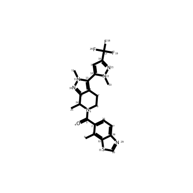 Cc1c(C(=O)N2CCc3c(nn(C)c3-c3cc(C(F)(F)F)nn3C)C2C)ccc2ncsc12